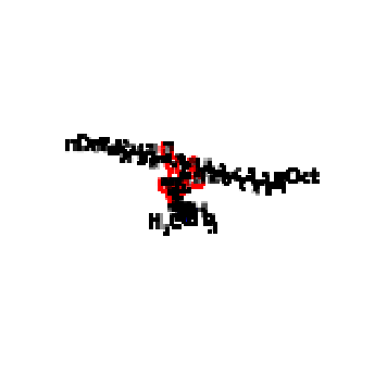 CCCCCCCC/C=C\CCCCCCCCCC(=O)O[C@H](COC(=O)CCCCCCCCCCCCCCCCC)COP(=O)([O-])OCC[N+](C)(C)C